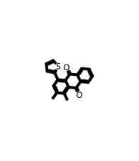 Cc1cc(-c2cccs2)c2c(c1C)C(=O)c1ccccc1C2=O